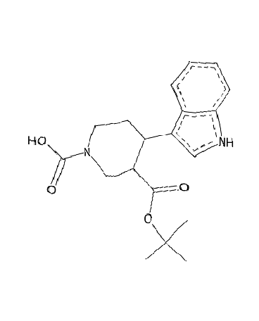 CC(C)(C)OC(=O)C1CN(C(=O)O)CCC1c1c[nH]c2ccccc12